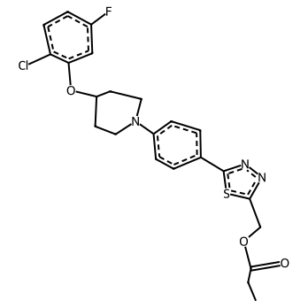 CCC(=O)OCc1nnc(-c2ccc(N3CCC(Oc4cc(F)ccc4Cl)CC3)cc2)s1